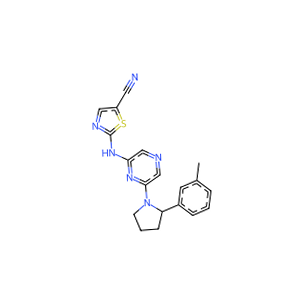 Cc1cccc(C2CCCN2c2cncc(Nc3ncc(C#N)s3)n2)c1